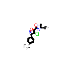 CC(C)C(C)NC(=O)c1onc(-c2ccc(C(F)(F)F)cc2)c1Cl